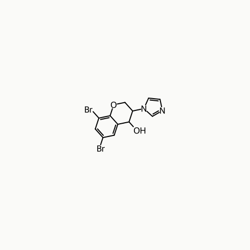 OC1c2cc(Br)cc(Br)c2OCC1n1ccnc1